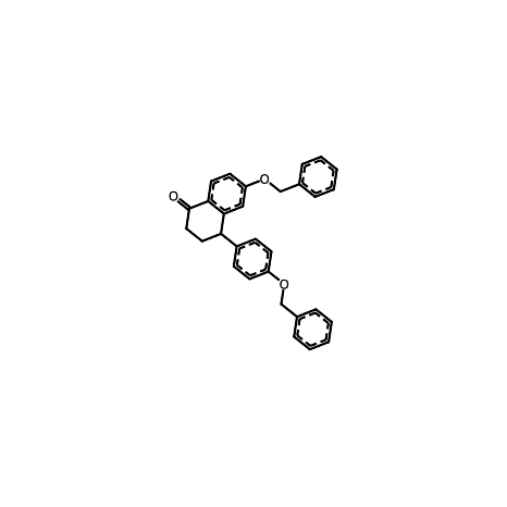 O=C1CCC(c2ccc(OCc3ccccc3)cc2)c2cc(OCc3ccccc3)ccc21